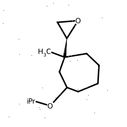 CC(C)OC1CCCCC(C)([C@H]2CO2)C1